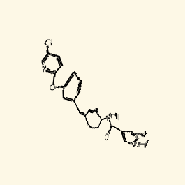 O=C(NC1CCC(=Cc2cccc(Oc3ccc(Cl)cn3)c2)CC1)c1cn[nH]c1